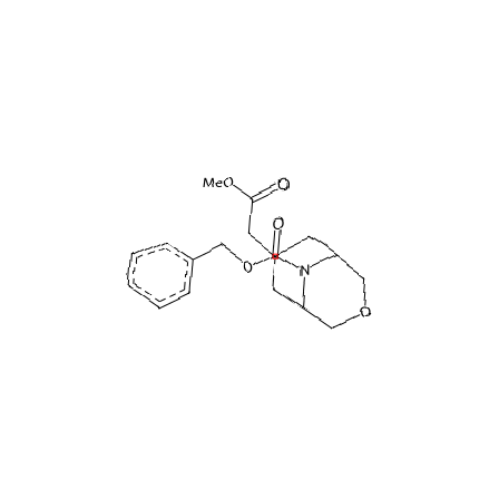 COC(=O)CC1CC2COCC(C1)N2C(=O)OCc1ccccc1